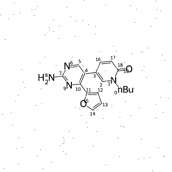 CCCCn1cc(-c2cnc(N)nc2-c2ccco2)ccc1=O